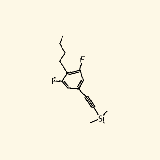 CCCCc1c(F)cc(C#C[Si](C)(C)C)cc1F